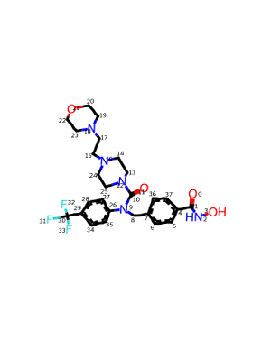 O=C(NO)c1ccc(CN(C(=O)N2CCN(CCN3CCOCC3)CC2)c2ccc(C(F)(F)F)cc2)cc1